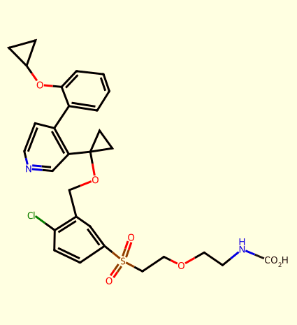 O=C(O)NCCOCCS(=O)(=O)c1ccc(Cl)c(COC2(c3cnccc3-c3ccccc3OC3CC3)CC2)c1